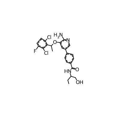 CCC(CO)NC(=O)c1ccc(-c2cnc(N)c(OC(C)c3c(Cl)ccc(F)c3Cl)c2)cc1